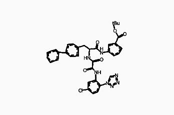 CC(C)(C)OC(=O)c1cccc(NC(=O)C(Cc2ccc(-c3ccccc3)cc2)NC(=O)C(=O)Nc2cc(Cl)ccc2-n2cnnn2)c1